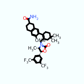 COc1cc2c(cc1C1=C(CN3C(=O)O[C@H](c4cc(C(F)(F)F)cc(C(F)(F)F)c4)[C@@H]3C)CC(C)(C)CC1)CC(C(N)=O)CC2